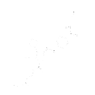 COC(=O)CCNC(=O)C1SC(=NC(=O)c2ccc(C(=N)NCCCC(=O)O)cc2)N(C2CCC2)C1C